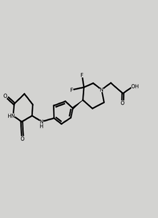 O=C(O)CN1CC[C@@H](c2ccc(NC3CCC(=O)NC3=O)cc2)C(F)(F)C1